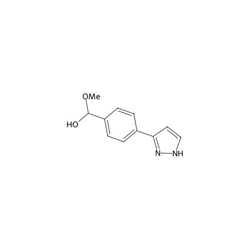 COC(O)c1ccc(-c2cc[nH]n2)cc1